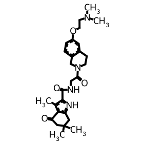 Cc1c(C(=O)NCC(=O)N2CCc3cc(OCCN(C)C)ccc3C2)[nH]c2c1C(=O)CC(C)(C)C2